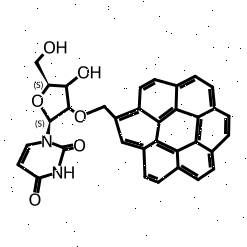 O=c1ccn([C@H]2O[C@@H](CO)C(O)C2OCc2cc3ccc4ccc5ccc6ccc7ccc2c2c7c6c5c4c32)c(=O)[nH]1